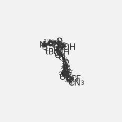 Cc1ncsc1-c1ccc(CNC(=O)[C@@H]2C[C@@H](O)CN2C(=O)[C@@H](NC(=O)COCCOc2ccc(N3C(=S)N(c4ccc(C#N)c(C(F)(F)F)c4)C(=O)C3(C)C)cc2)C(C)(C)C)cc1